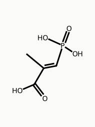 C/C(=C\P(=O)(O)O)C(=O)O